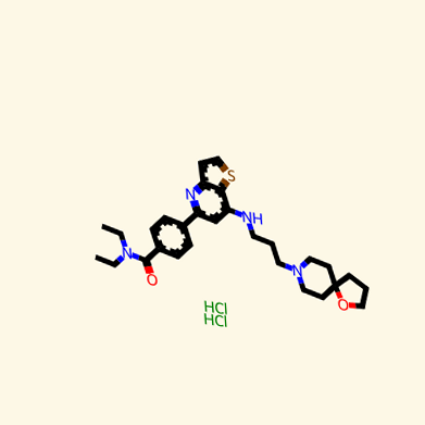 CCN(CC)C(=O)c1ccc(-c2cc(NCCCN3CCC4(CCCO4)CC3)c3sccc3n2)cc1.Cl.Cl